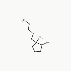 CCCCCC1(N)CCCC1N